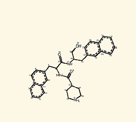 O=C(NC(Cc1ccc2ccccc2c1)C(=O)NC(CO)Cc1ccc2ccccc2c1)C1CCNCC1